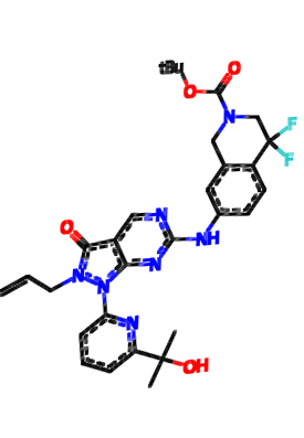 C=CCn1c(=O)c2cnc(Nc3ccc4c(c3)CN(C(=O)OC(C)(C)C)CC4(F)F)nc2n1-c1cccc(C(C)(C)O)n1